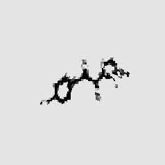 O=C(c1ccc(Cl)cc1)C(Cl)c1nc[nH]n1